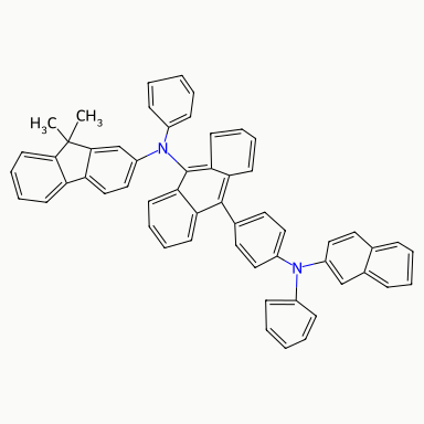 CC1(C)c2ccccc2-c2ccc(N(c3ccccc3)c3c4ccccc4c(-c4ccc(N(c5ccccc5)c5ccc6ccccc6c5)cc4)c4ccccc34)cc21